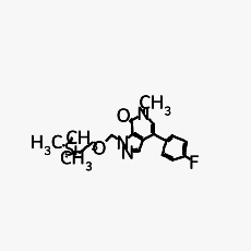 Cn1cc(-c2ccc(F)cc2)c2cnn(COCC[Si](C)(C)C)c2c1=O